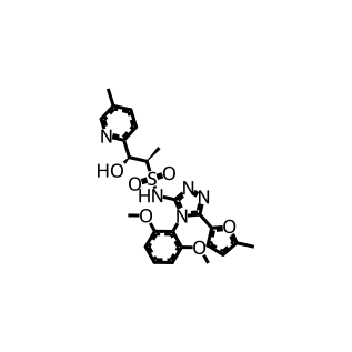 COc1cccc(OC)c1-n1c(NS(=O)(=O)[C@H](C)[C@@H](O)c2ccc(C)cn2)nnc1-c1ccc(C)o1